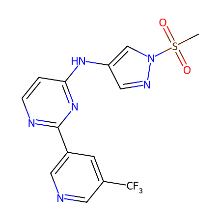 CS(=O)(=O)n1cc(Nc2ccnc(-c3cncc(C(F)(F)F)c3)n2)cn1